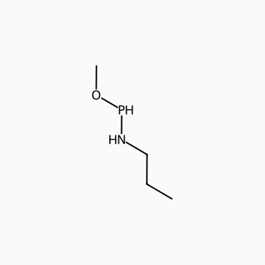 CCCNPOC